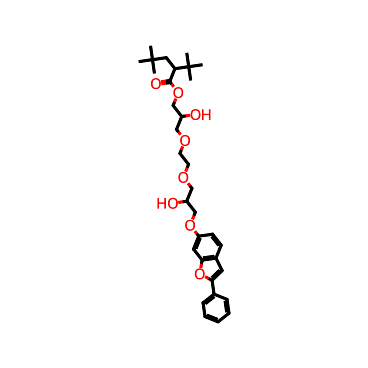 CC(C)(C)CC(C(=O)OCC(O)COCCOCC(O)COc1ccc2cc(-c3ccccc3)oc2c1)C(C)(C)C